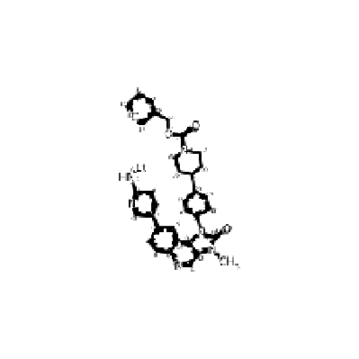 CCNc1ccc(-c2ccc3ncc4c(c3c2)n(-c2ccc(C3CCN(C(=O)OCc5ccccc5)CC3)cc2)c(=O)n4C)cn1